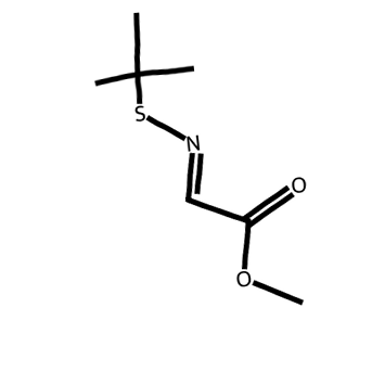 COC(=O)/C=N/SC(C)(C)C